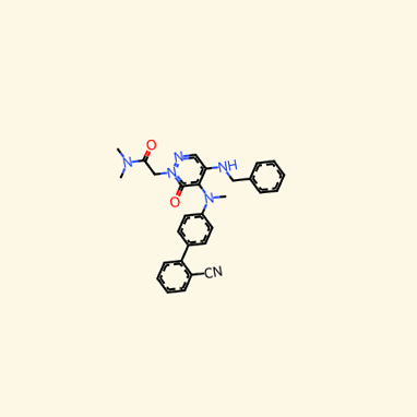 CN(C)C(=O)Cn1ncc(NCc2ccccc2)c(N(C)c2ccc(-c3ccccc3C#N)cc2)c1=O